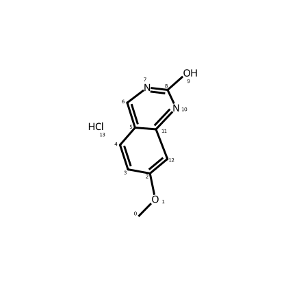 COc1ccc2cnc(O)nc2c1.Cl